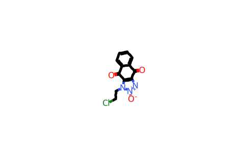 O=C1c2ccccc2C(=O)c2c1n[n+]([O-])n2CCCl